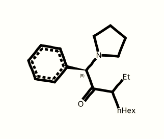 CCCCCCC(CC)C(=O)[C@@H](c1ccccc1)N1CCCC1